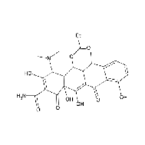 CCC(=O)OC1C2C(=C(O)C3(O)C(=O)C(C(N)=O)=C(O)C(N(C)C)C13)C(=O)c1c(O)cccc1C2C